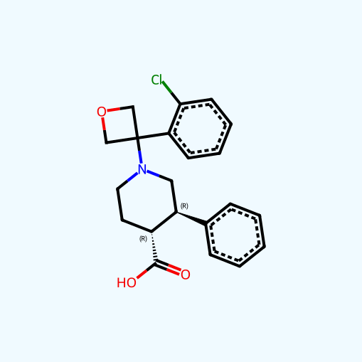 O=C(O)[C@@H]1CCN(C2(c3ccccc3Cl)COC2)C[C@H]1c1ccccc1